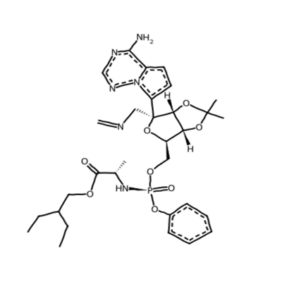 C=NC[C@@]1(c2ccc3c(N)ncnn23)O[C@H](CO[P@@](=O)(N[C@@H](C)C(=O)OCC(CC)CC)Oc2ccccc2)[C@H]2OC(C)(C)O[C@H]21